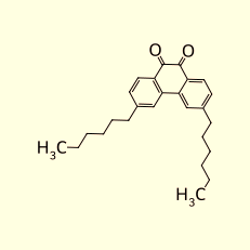 CCCCCCc1ccc2c(c1)-c1cc(CCCCCC)ccc1C(=O)C2=O